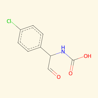 O=CC(NC(=O)O)c1ccc(Cl)cc1